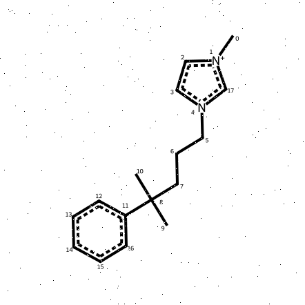 C[n+]1ccn(CCCC(C)(C)c2ccccc2)c1